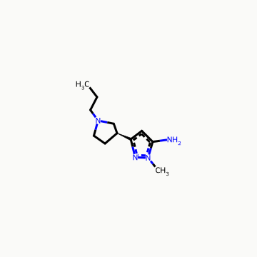 CCCN1CC[C@H](c2cc(N)n(C)n2)C1